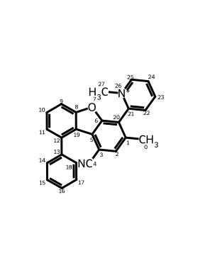 Cc1cc(C#N)c2c(oc3cccc(-c4ccccc4)c32)c1-c1cccc[n+]1C